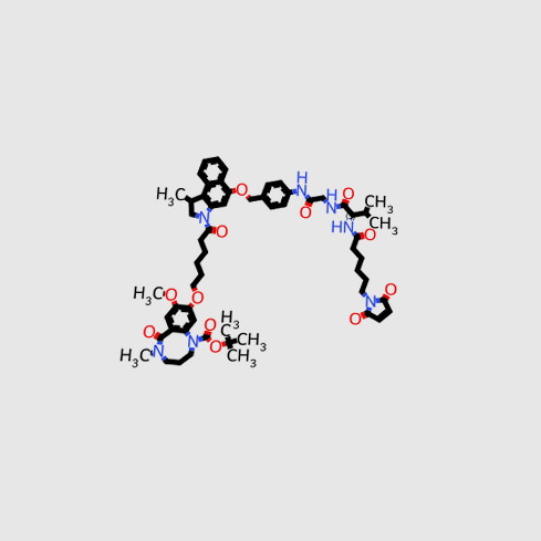 COc1cc2c(cc1OCCCCCC(=O)N1CC(C)c3c1cc(OCc1ccc(NC(=O)CNC(=O)[C@@H](NC(=O)CCCCCN4C(=O)C=CC4=O)C(C)C)cc1)c1ccccc31)N(C(=O)OC(C)(C)C)CCCN(C)C2=O